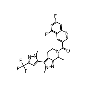 CC1c2nn(C)c(-c3cc(C(F)(F)F)nn3C)c2CCN1C(=O)c1cnc2cc(F)cc(F)c2c1